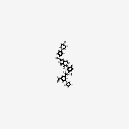 Cc1ccc(NC(=O)c2cc(C(F)F)cc(N3CCCC3)c2)cc1N1CCc2nc(Nc3ccc(N4CCN(C)CC4)cc3)ncc2C1=O